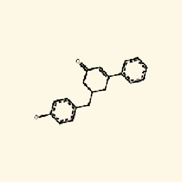 O=C1C=C(c2ccccc2)CC(Cc2ccc(Cl)cc2)C1